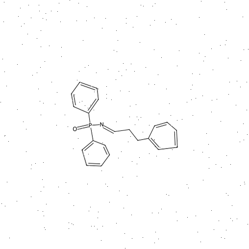 O=P(N=CCCc1ccccc1)(c1ccccc1)c1ccccc1